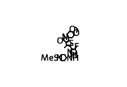 CSN1CCC(Nc2ncc(F)c(-c3sc4c(c3C)C(=O)N(C)C43CCC4(CC3)OCCO4)n2)CC1